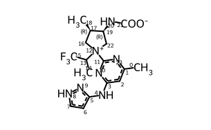 Cc1cc(Nc2cc[nH]n2)nc([N+]2(C(C)C(F)(F)F)C[C@@H](C)[C@@H](NC(=O)[O-])C2)n1